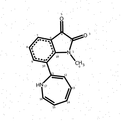 CN1C(=O)C(=O)c2cccc(C3=CC=CC=CN3)c21